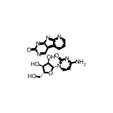 Nc1ccn([C@@H]2O[C@H](CO)[C@@H](O)[C@H]2O)c(=O)n1.O=C1N=CC2=c3cccnc3=NC2=N1